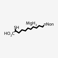 CCCCCCCCCCCCCCCCCCC(S)C(=O)O.[MgH2]